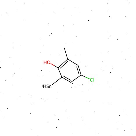 Cc1cc(Cl)c[c]([SnH])c1O